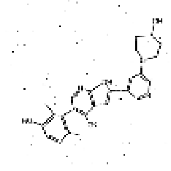 Cc1ccc(O)c(C)c1-c1cnc2[nH]c(-c3cncc(N4CCC(O)CC4)c3)cc2c1C#N